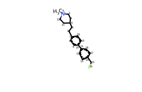 CN1CCC(CCc2ccc(-c3ccc(CF)cc3)cc2)CC1